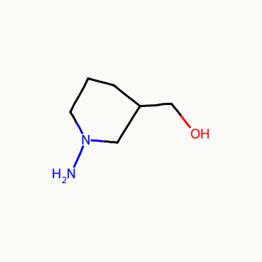 NN1CCCC(CO)C1